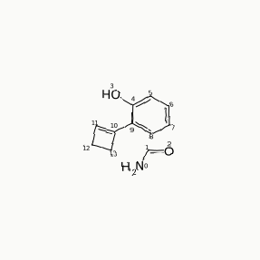 NC=O.Oc1ccccc1C1=CCC1